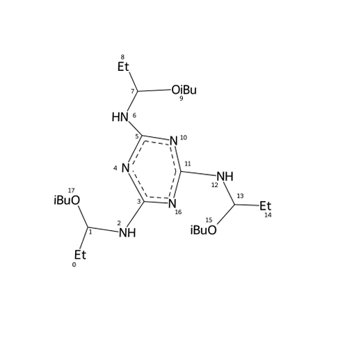 CCC(Nc1nc(NC(CC)OCC(C)C)nc(NC(CC)OCC(C)C)n1)OCC(C)C